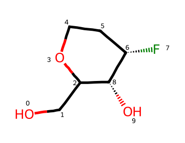 OCC1OCC[C@H](F)[C@@H]1O